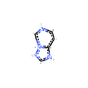 c1cc2ncnn2cn1